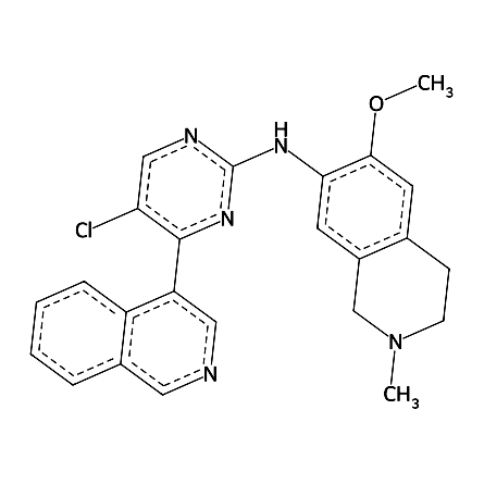 COc1cc2c(cc1Nc1ncc(Cl)c(-c3cncc4ccccc34)n1)CN(C)CC2